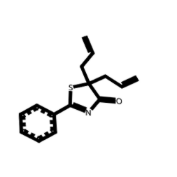 C=CCC1(CC=C)SC(c2ccccc2)=NC1=O